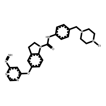 CCN1CCN(Cc2ccc(NC(=O)N3CCc4cc(Oc5cc(N=N)ncn5)ccc43)cc2)CC1